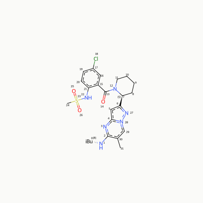 CC[C@@H](C)Nc1nc2cc([C@@H]3CCCCN3C(=O)c3cc(Cl)ccc3NS(C)(=O)=O)nn2cc1C